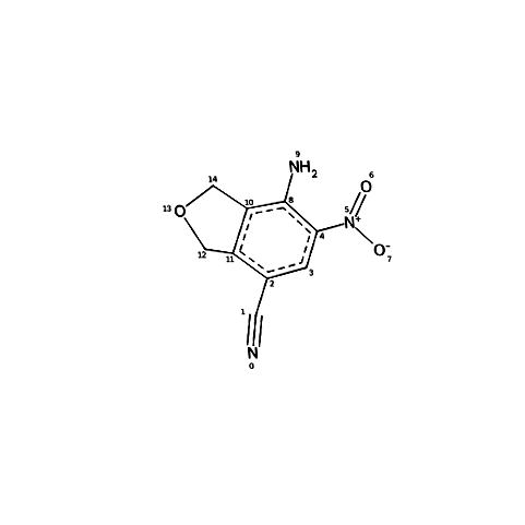 N#Cc1cc([N+](=O)[O-])c(N)c2c1COC2